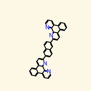 c1ccc2c(c1)c1cccnc1c1nc(-c3ccc4cc(-c5ccc6c7ccccc7c7cccnc7c6n5)ccc4c3)ccc21